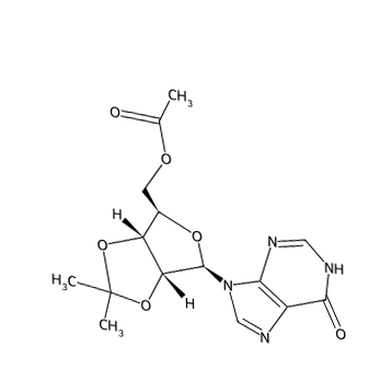 CC(=O)OC[C@H]1O[C@@H](n2cnc3c(=O)[nH]cnc32)[C@@H]2OC(C)(C)O[C@@H]21